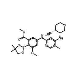 COC(=O)c1cc(Nc2ncc(C)c(N[C@@H]3COCC[C@H]3C#N)n2)cc(OC)c1B1OCC(C)(C)O1